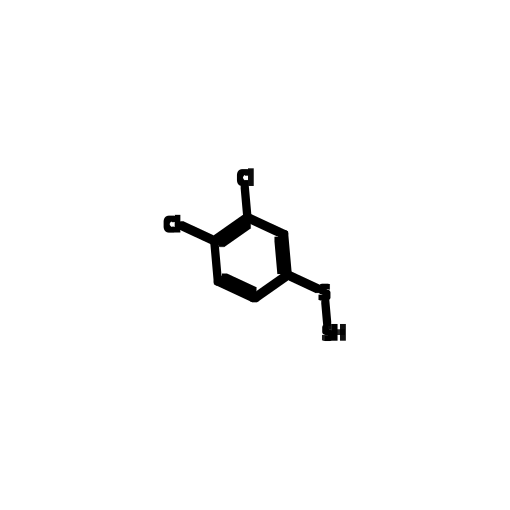 SSc1ccc(Cl)c(Cl)c1